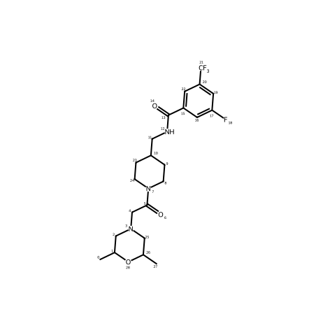 CC1CN(CC(=O)N2CCC(CNC(=O)c3cc(F)cc(C(F)(F)F)c3)CC2)CC(C)O1